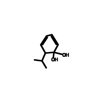 CC(C)C1C=CC=CC1(O)O